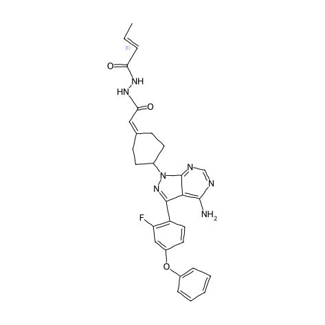 C/C=C/C(=O)NNC(=O)C=C1CCC(n2nc(-c3ccc(Oc4ccccc4)cc3F)c3c(N)ncnc32)CC1